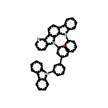 c1ccc(-n2c3ccccc3c3ccc4c5ncccc5n(-c5cccc(-c6cccc(-n7c8ccccc8c8ccccc87)c6)c5)c4c32)cc1